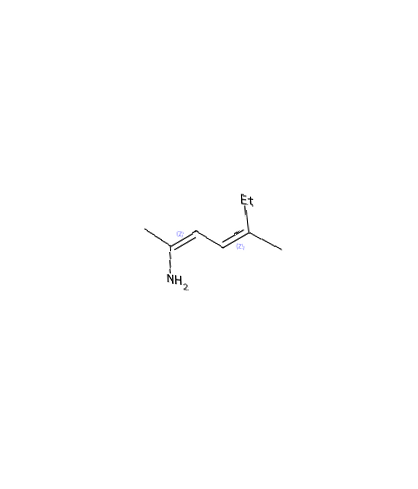 CC/C(C)=C\C=C(\C)N